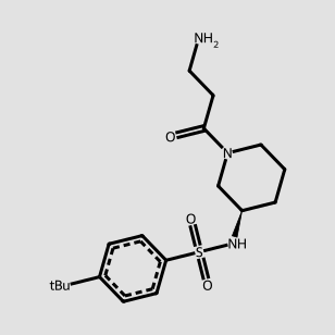 CC(C)(C)c1ccc(S(=O)(=O)N[C@@H]2CCCN(C(=O)CCN)C2)cc1